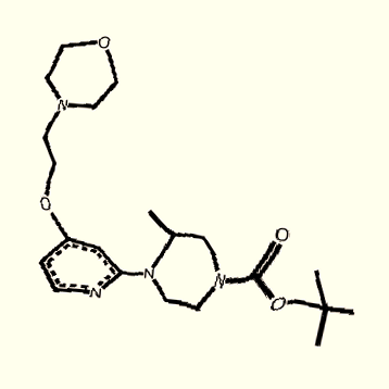 CC1CN(C(=O)OC(C)(C)C)CCN1c1cc(OCCN2CCOCC2)ccn1